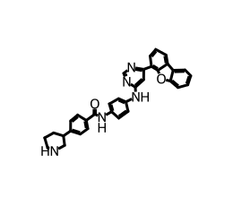 O=C(Nc1ccc(Nc2cc(-c3cccc4c3oc3ccccc34)ncn2)cc1)c1ccc(C2CCCNC2)cc1